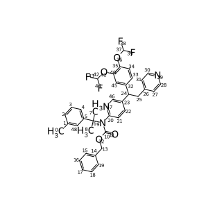 Cc1cccc(C(C)(C)N(C(=O)OCc2ccccc2)c2ccc(C(Cc3ccncc3)c3ccc(OC(F)F)c(OC(F)F)c3)cn2)c1